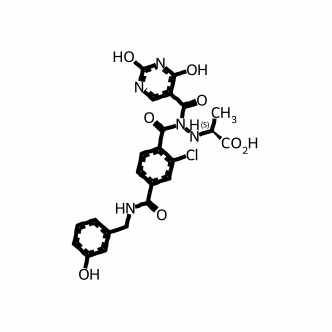 C[C@H](NN(C(=O)c1ccc(C(=O)NCc2cccc(O)c2)cc1Cl)C(=O)c1cnc(O)nc1O)C(=O)O